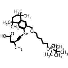 CC(C#C[Se]c1cc2c(cc1COCCCCCO[Si](C)(C)C(C)(C)C)C(C)(C)CCC2(C)C)=CC(=O)O